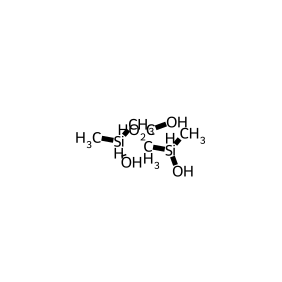 C[SiH](C)O.C[SiH](C)O.O=C(O)O